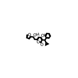 O=c1oc(CC(O)c2ccco2)cc(O)c1C(c1ccccc1)C1CC1